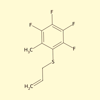 C=CCSc1c(C)c(F)c(F)c(F)c1F